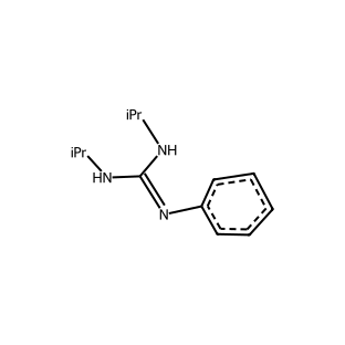 CC(C)NC(=Nc1ccccc1)NC(C)C